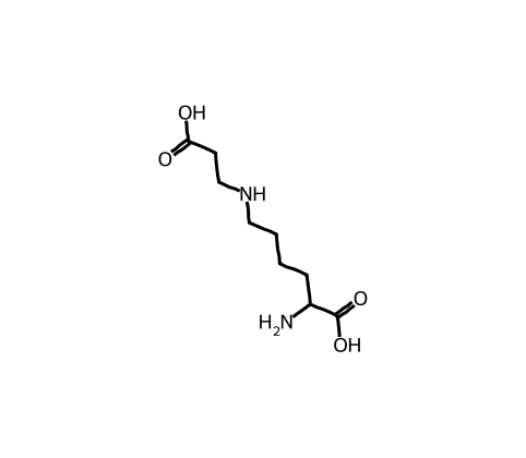 NC(CCCCNCCC(=O)O)C(=O)O